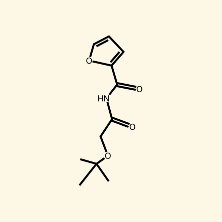 CC(C)(C)OCC(=O)NC(=O)c1ccco1